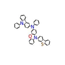 c1ccc(N(c2ccc3c(c2)Oc2ccccc2N3c2ccc3c(c2)sc2ccccc23)c2ccc3c(c2)c2ccccc2n3-c2ccccc2)cc1